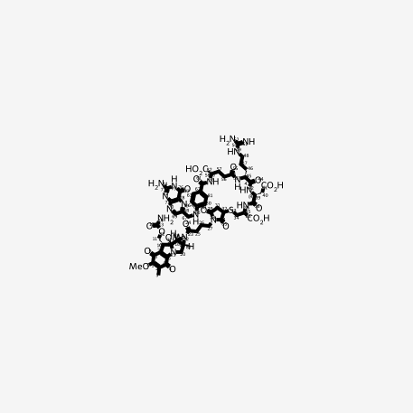 COC1=C(C)C(=O)C2=C(C1=O)[C@H](COC(N)=O)[C@]1(OC)[C@H]3[C@@H](CN21)N3C(=O)CCCN1C(=O)CC(SCC(NC(=O)[C@@H](CC(=O)O)NC(=O)[C@@H](CCCNC(=N)N)NC(=O)CC[C@@H](NC(=O)c2ccc(NCc3cnc4nc(N)[nH]c(=O)c4n3)cc2)C(=O)O)C(=O)O)C1=O